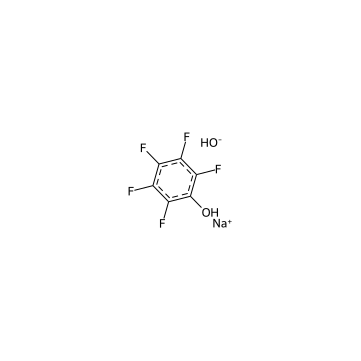 Oc1c(F)c(F)c(F)c(F)c1F.[Na+].[OH-]